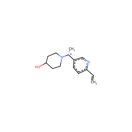 C=Cc1ccc([C@@H](C)N2CCC(O)CC2)cn1